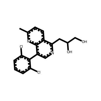 Cc1ccc2c(CC(O)CO)ncc(-c3c(Cl)cccc3Cl)c2n1